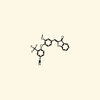 COc1cc(C=C2Sc3ccccc3C2=O)ccc1Oc1ccc(C#N)cc1C(F)(F)F